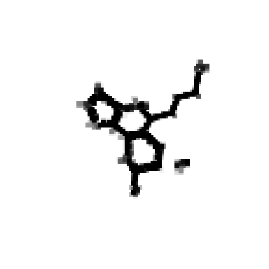 CCCCC(O)c1ccc(Br)nc1-c1nnn[nH]1.[LiH]